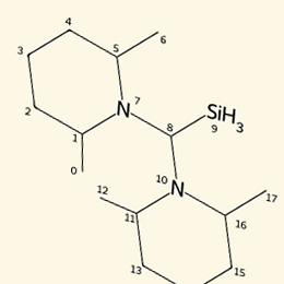 CC1CCCC(C)N1C([SiH3])N1C(C)CCCC1C